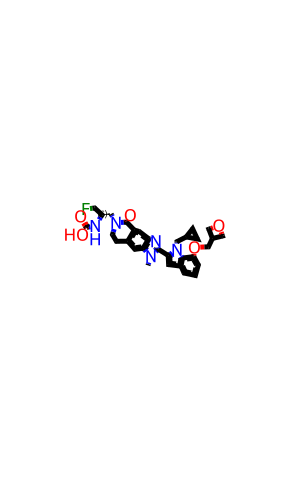 Cn1c(-c2cc3cccc(OCC4COC4)c3n2CC2CC2)nc2cc3c(cc21)CCN(C[C@@H](CF)NC(=O)O)C3=O